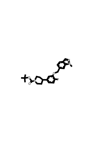 Cn1ncc2ccc(COc3cc(C4CCN(C(=O)OC(C)(C)C)CC4)ccc3F)cc21